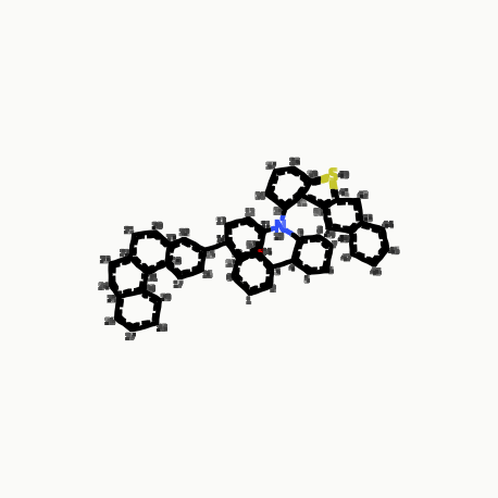 c1ccc(-c2ccccc2N(c2ccc(-c3ccc4c(ccc5ccc6ccccc6c54)c3)cc2)c2cccc3sc4cc5ccccc5cc4c23)cc1